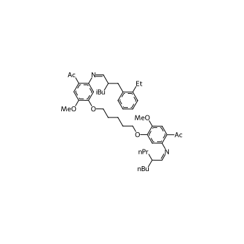 CCCCC(/C=N\c1cc(OCCCCCOc2cc(/N=C\C(Cc3ccccc3CC)C(C)CC)c(C(C)=O)cc2OC)c(OC)cc1C(C)=O)CCC